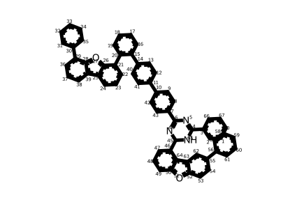 c1ccc(C2=NC(c3ccc(-c4ccc(-c5ccccc5-c5cccc6c5oc5c(-c7ccccc7)cccc56)cc4)cc3)=NC(c3cccc4oc5ccc(-c6ccccc6)cc5c34)N2)cc1